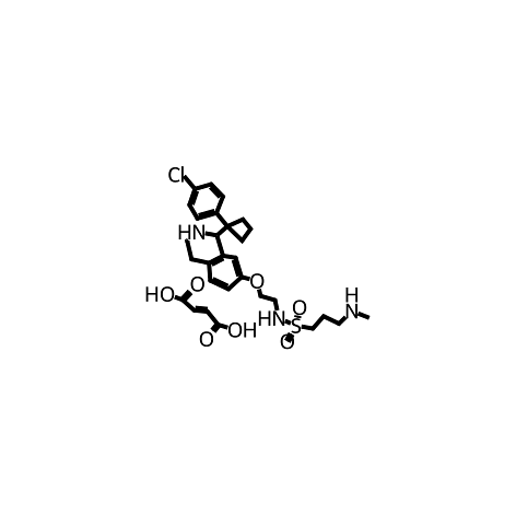 CNCCCS(=O)(=O)NCCOc1ccc2c(c1)C(C1(c3ccc(Cl)cc3)CCC1)NCC2.O=C(O)C=CC(=O)O